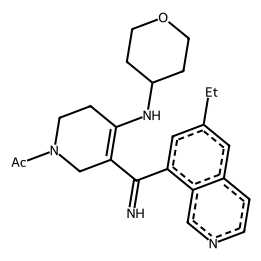 CCc1cc(C(=N)C2=C(NC3CCOCC3)CCN(C(C)=O)C2)c2cnccc2c1